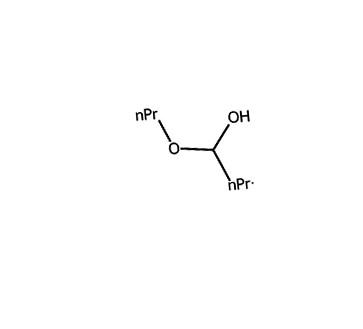 CC[CH]C(O)OCCC